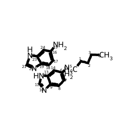 CCCCC.Nc1ccc2nc[nH]c2c1.Nc1ccc2nc[nH]c2c1